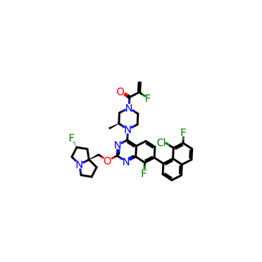 C=C(F)C(=O)N1CCN(c2nc(OC[C@@]34CCCN3C[C@H](F)C4)nc3c(F)c(-c4cccc5ccc(F)c(Cl)c45)ccc23)[C@@H](C)C1